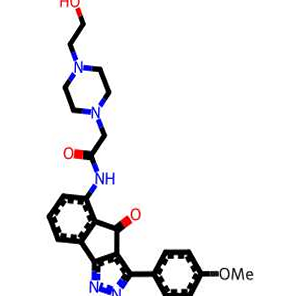 COc1ccc(-c2[nH]nc3c2C(=O)c2c(NC(=O)CN4CCN(CCO)CC4)cccc2-3)cc1